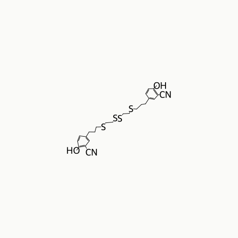 N#Cc1cc(CCCSCCSSCCSCCCc2ccc(O)c(C#N)c2)ccc1O